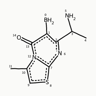 Bc1c(C(C)N)nc2scc(C)n2c1=O